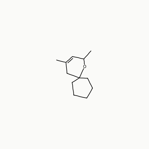 CC1=CC(C)OC2(CCCCC2)C1